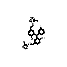 Cc1nnnn1N=Cc1ccc(O)c(C(c2cccc(F)c2)c2cc(C=Nn3nnnc3C)ccc2O)c1